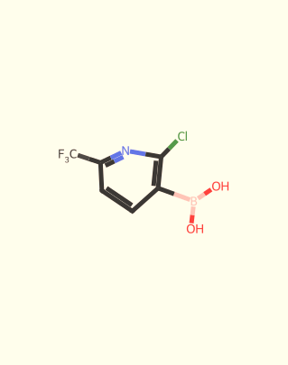 OB(O)c1ccc(C(F)(F)F)nc1Cl